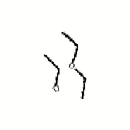 CCCl.CCOCC